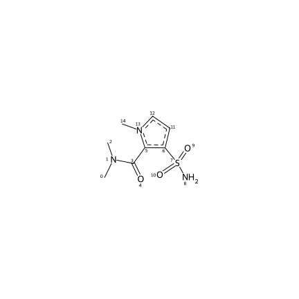 CN(C)C(=O)c1c(S(N)(=O)=O)ccn1C